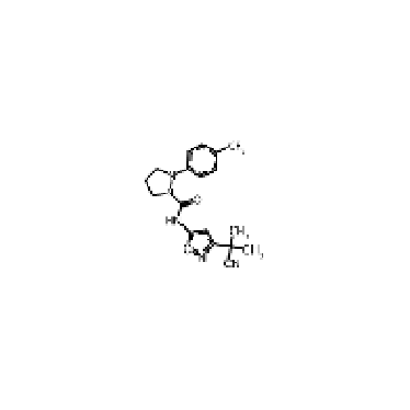 CC(C)(C#N)c1cc(NC(=O)N2CCCN2c2ccc(C(F)(F)F)cc2)on1